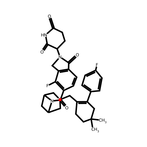 CC1(C)CCC(CN2CC3CC(C2)N3C(=O)c2ccc3c(c2F)CN(C2CCC(=O)NC2=O)C3=O)=C(c2ccc(F)cc2)C1